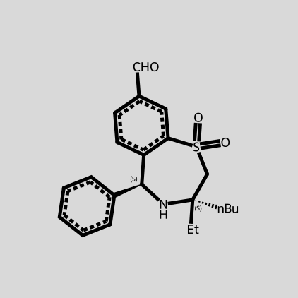 CCCC[C@@]1(CC)CS(=O)(=O)c2cc(C=O)ccc2[C@H](c2ccccc2)N1